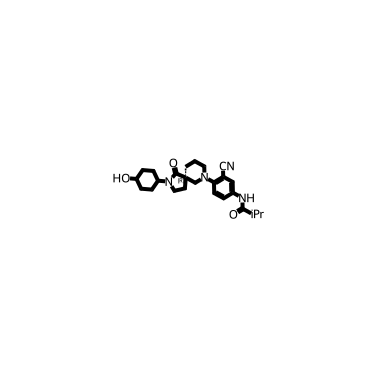 CC(C)C(=O)Nc1ccc(N2CCC[C@@]3(CCN(C4CCC(O)CC4)C3=O)C2)c(C#N)c1